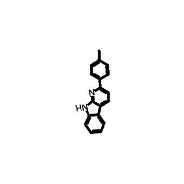 Cc1ccc(-c2ccc3c(n2)[nH]c2ccccc23)cc1